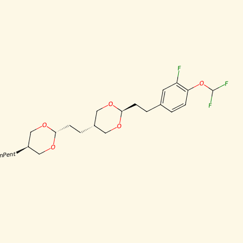 CCCCC[C@H]1CO[C@H](CC[C@H]2CO[C@H](CCc3ccc(OC(F)F)c(F)c3)OC2)OC1